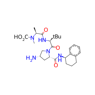 C[C@@H](C(=O)N[C@H](C(=O)N1C[C@@H](N)C[C@H]1C(=O)N[C@@H]1CCCc2ccccc21)C(C)(C)C)N(C)C(=O)O